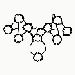 N#Cc1cc2c(c3c1C1(c4ccccc4-c4ccccc41)c1ccccc1-3)c1c3cc(c4c5c6c(c(C#N)cc5n2c14)C1(c2ccccc2-c2ccccc21)c1ccccc1-6)CCc1cccc(c1)CC3